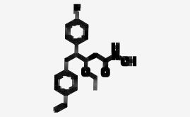 C=Cc1ccc(CC(c2ccc(F)cc2)[C@@H](CC(=O)NO)OCC)cc1